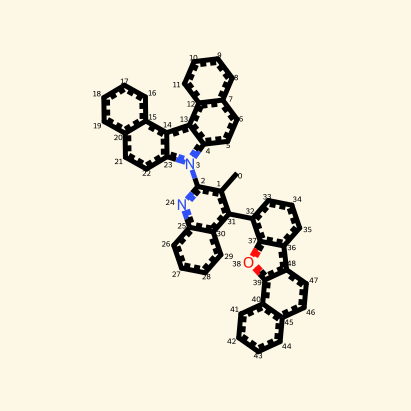 Cc1c(-n2c3ccc4ccccc4c3c3c4ccccc4ccc32)nc2ccccc2c1-c1cccc2c1oc1c3ccccc3ccc21